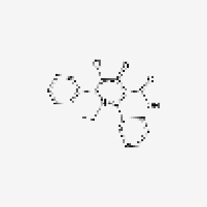 CCn1c(-c2ccccc2)c(Cl)c(=O)c(C(=O)O)c1-c1ccccc1